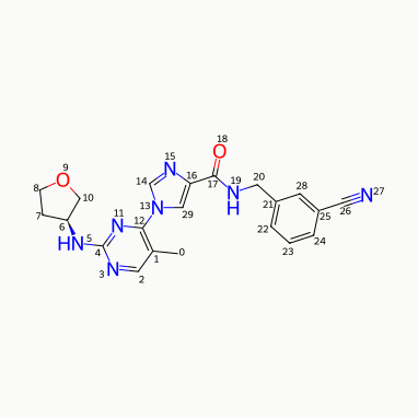 Cc1cnc(N[C@H]2CCOC2)nc1-n1cnc(C(=O)NCc2cccc(C#N)c2)c1